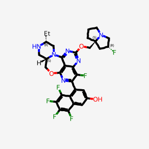 CC[C@@H]1CN2c3nc(OC[C@@]45CCCN4C[C@H](F)C5)nc4c(F)c(-c5cc(O)cc6c(F)c(F)c(F)c(F)c56)nc(c34)OC[C@@H]2CN1